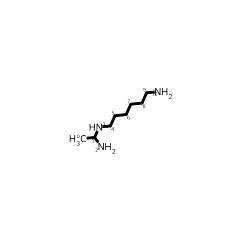 CC(N)NCCCCCCN